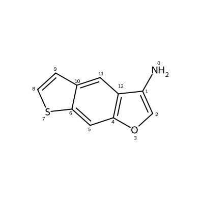 Nc1coc2cc3sccc3cc12